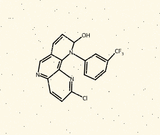 OC1C=Cc2cnc3ccc(Cl)nc3c2N1c1cccc(C(F)(F)F)c1